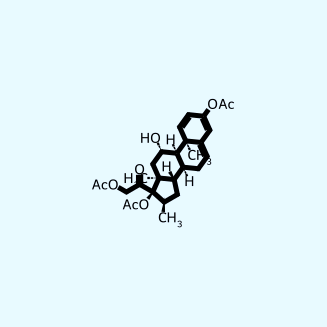 CC(=O)OCC(=O)[C@@]1(OC(C)=O)[C@H](C)C[C@H]2[C@@H]3CC=C4C=C(OC(C)=O)C=C[C@]4(C)[C@@H]3[C@@H](O)C[C@@]21C